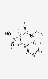 CCN1C(=O)C(C)(C(=O)O)Sc2ccccc21